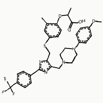 COc1ccc(N2CCN(Cc3nc(-c4ccc(C(F)(F)F)cc4)sc3CSc3ccc(OC(C)C(=O)O)c(C)c3)CC2)cc1